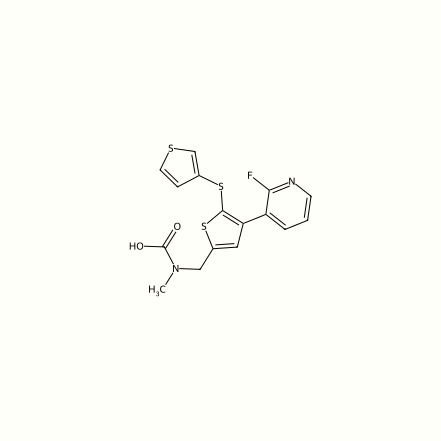 CN(Cc1cc(-c2cccnc2F)c(Sc2ccsc2)s1)C(=O)O